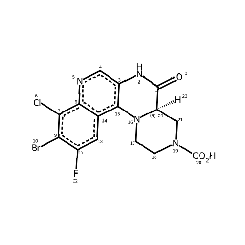 O=C1Nc2cnc3c(Cl)c(Br)c(F)cc3c2N2CCN(C(=O)O)C[C@H]12